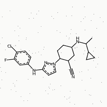 CC(NC1CCC(n2ccc(Nc3ccc(Cl)c(F)c3)n2)C(C#N)C1)C1CC1